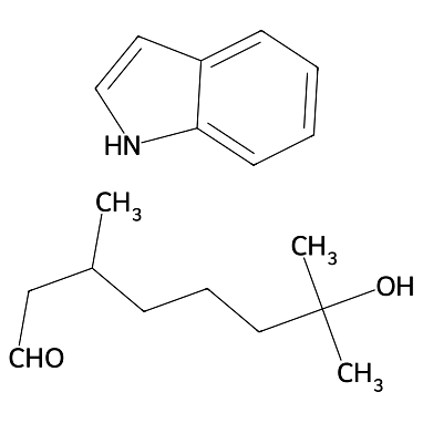 CC(CC=O)CCCC(C)(C)O.c1ccc2[nH]ccc2c1